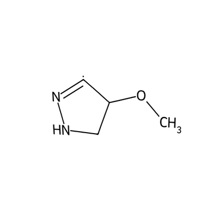 COC1[C]=NNC1